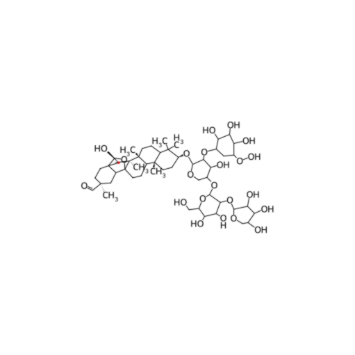 CC1(C)C2CC[C@]3(C)C(CCC45OCC6(CC[C@](C)(C=O)CC64)[C@H](O)C[C@]53C)[C@@]2(C)CC[C@@H]1OC1OCC(OC2OC(CO)C(O)C(O)C2OC2OCC(O)C(O)C2O)C(O)C1OC1CC(OO)C(O)C(O)C1O